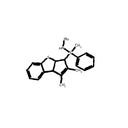 CC1=C(C)C(S(C)(NC(C)(C)C)c2ccccc2)C2Sc3ccccc3C12